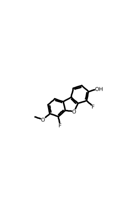 COc1ccc2c(oc3c(F)c(O)ccc32)c1F